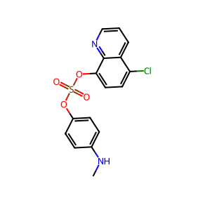 CNc1ccc(OS(=O)(=O)Oc2ccc(Cl)c3cccnc23)cc1